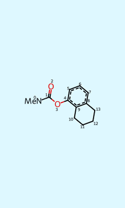 CNC(=O)Oc1cccc2c1CCCC2